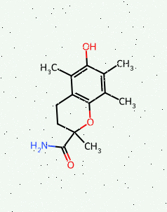 Cc1c(C)c2c(c(C)c1O)CCC(C)(C(N)=O)O2